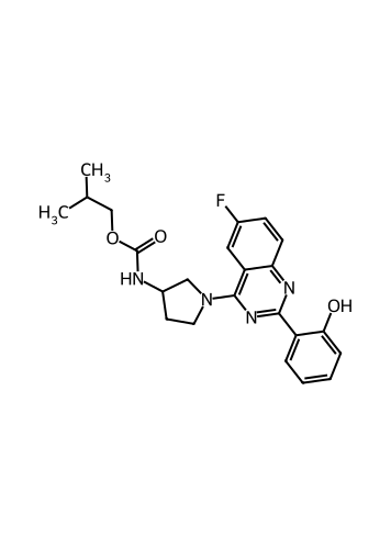 CC(C)COC(=O)NC1CCN(c2nc(-c3ccccc3O)nc3ccc(F)cc23)C1